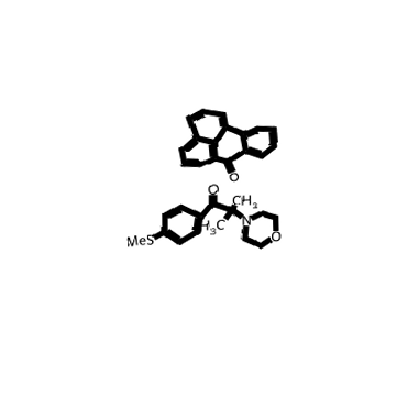 CSc1ccc(C(=O)C(C)(C)N2CCOCC2)cc1.O=C1c2ccccc2-c2cccc3cccc1c23